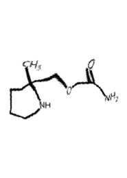 CC1(COC(N)=O)CCCN1